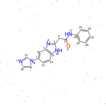 O=C(Cc1nc2cc(-n3ccnc3)ccc2[nH]1)Nc1ccccc1